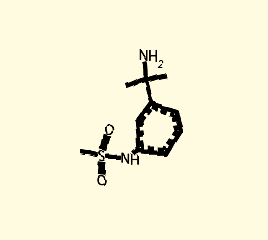 CC(C)(N)c1cccc(NS(C)(=O)=O)c1